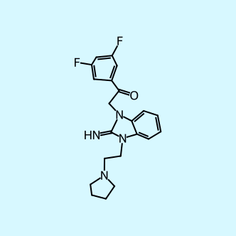 N=c1n(CCN2CCCC2)c2ccccc2n1CC(=O)c1cc(F)cc(F)c1